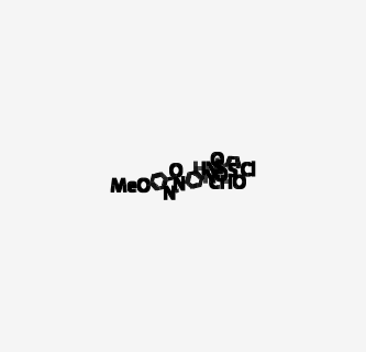 COc1ccc2c(=O)n(-c3ccc(N(C=O)NS(=O)(=O)c4ccc(Cl)s4)cc3)cnc2c1